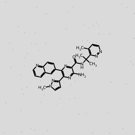 Cc1ccnnc1C(C)(C)NC(=O)c1nc(-c2ccc3ncccc3c2)c(-c2ccn(C)n2)nc1N